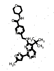 Cc1cc(-c2nncc3c(C(C)(C)C)c(OCc4ccc(C(=O)NC5CCOCC5)cn4)nn23)no1